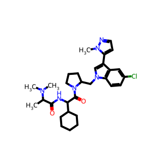 CC(C(=O)NC(C(=O)N1CCCC1Cn1cc(-c2ccnn2C)c2cc(Cl)ccc21)C1CCCCC1)N(C)C